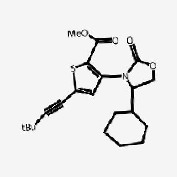 COC(=O)c1sc(C#CC(C)(C)C)cc1N1C(=O)OCC1C1CCCCC1